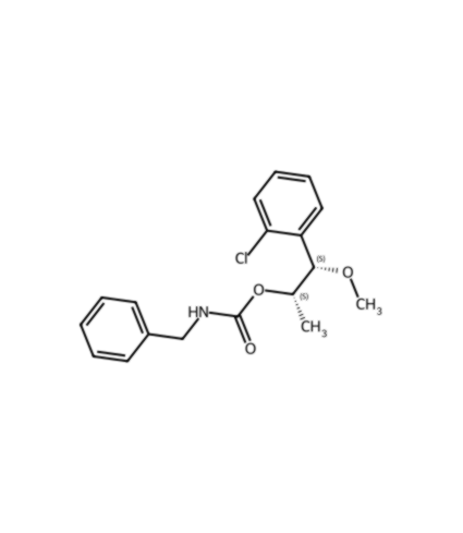 CO[C@@H](c1ccccc1Cl)[C@H](C)OC(=O)NCc1ccccc1